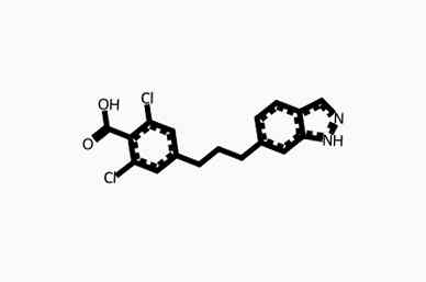 O=C(O)c1c(Cl)cc(CCCc2ccc3cn[nH]c3c2)cc1Cl